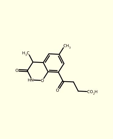 Cc1cc(C(=O)CCC(=O)O)c2c(c1)C(C)C(=O)NO2